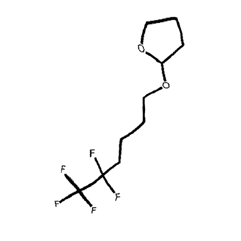 FC(F)(F)C(F)(F)CCCCOC1CCCO1